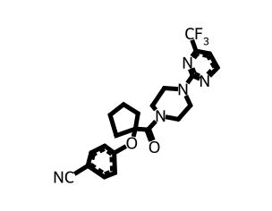 N#Cc1ccc(OC2(C(=O)N3CCN(c4nccc(C(F)(F)F)n4)CC3)CCCC2)cc1